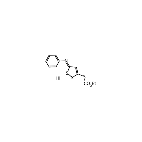 CCOC(=O)Sc1cc(=Nc2ccccc2)ss1.I